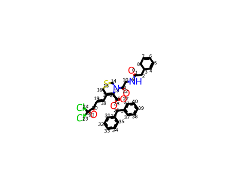 O=C(CC1C=CC=CC1)NCC(=O)N1CSCC(/C=C/C2OC2(Cl)Cl)=C1C(=O)OC(c1ccccc1)c1ccccc1